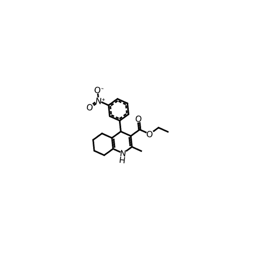 CCOC(=O)C1=C(C)NC2=C(CCCC2)C1c1cccc([N+](=O)[O-])c1